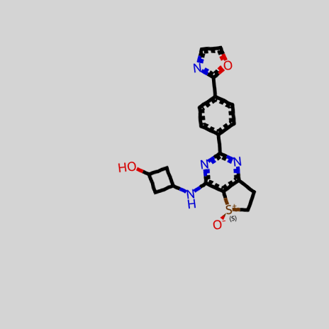 [O-][S@+]1CCc2nc(-c3ccc(-c4ncco4)cc3)nc(NC3CC(O)C3)c21